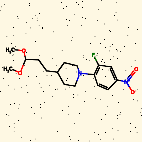 COC(CCC1CCN(c2ccc([N+](=O)[O-])cc2F)CC1)OC